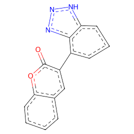 O=c1oc2ccccc2cc1-c1cccc2[nH]nnc12